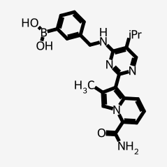 Cc1cn2c(C(N)=O)cccc2c1-c1ncc(C(C)C)c(NCc2cccc(B(O)O)c2)n1